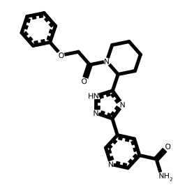 NC(=O)c1cncc(-c2n[nH]c(C3CCCCN3C(=O)COc3ccccc3)n2)c1